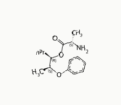 CCC[C@@H](OC(=O)[C@H](C)N)[C@H](C)Oc1ccccc1